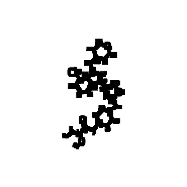 CCN(OC)C(=O)CN1CCN(Cc2nc(-c3cn(CC4CCOCC4)c4c(Cl)cccc34)no2)CC1